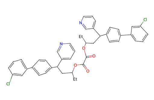 CCC(CC(c1ccc(-c2cccc(Cl)c2)cc1)c1cccnc1)OC(=O)C(=O)OC(CC)CC(c1ccc(-c2cccc(Cl)c2)cc1)c1cccnc1